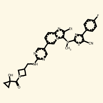 CCc1nc2ccc(-c3cnc(NCC4CN(C(=O)C5(O)CC5)C4)nc3)cn2c1N(C)c1nc(-c2ccc(F)cc2)c(C#N)s1